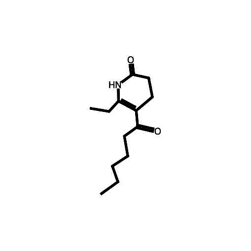 CCCCCC(=O)C1=C(CC)NC(=O)CC1